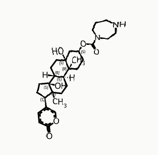 C[C@]12CC[C@H](OC(=O)N3CCCNCC3)C[C@@]1(O)CC[C@@H]1[C@@H]2CC[C@]2(C)[C@@H](c3ccc(=O)oc3)CC[C@]12O